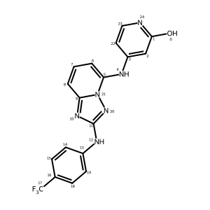 Oc1cc(Nc2cccc3nc(Nc4ccc(C(F)(F)F)cc4)nn23)ccn1